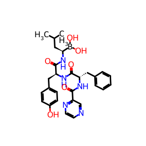 CC(C)C[C@H](NC(=O)[C@H](Cc1ccc(O)cc1)NC(=O)[C@H](Cc1ccccc1)NC(=O)c1cnccn1)B(O)O